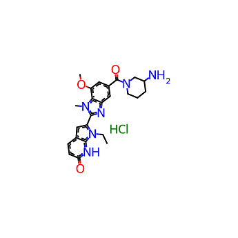 CCn1c(-c2nc3cc(C(=O)N4CCCC(N)C4)cc(OC)c3n2C)cc2ccc(=O)[nH]c21.Cl